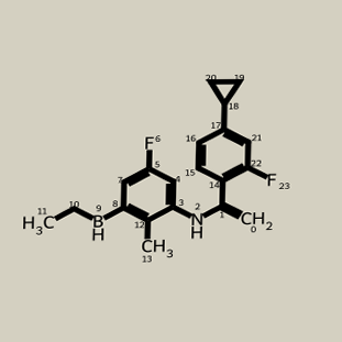 C=C(Nc1cc(F)cc(BCC)c1C)c1ccc(C2CC2)cc1F